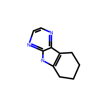 c1cnc2c(n1)[N]C1=C2CCCC1